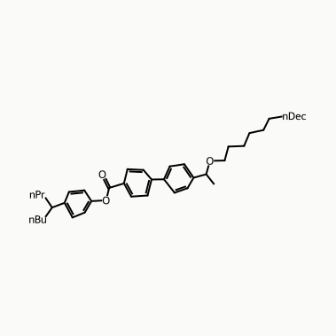 CCCCCCCCCCCCCCCCOC(C)c1ccc(-c2ccc(C(=O)Oc3ccc(C(CCC)CCCC)cc3)cc2)cc1